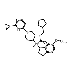 C[N+](C(=O)CCC1CCCC1)(C1CCN(c2ccnc(C3CC3)n2)CC1)C1CCc2ccc(OC(=O)O)cc21